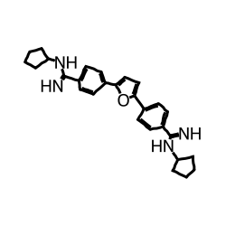 N=C(NC1CCCC1)c1ccc(-c2ccc(-c3ccc(C(=N)NC4CCCC4)cc3)o2)cc1